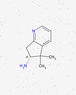 CC1(C)c2cccnc2C[C@H]1N